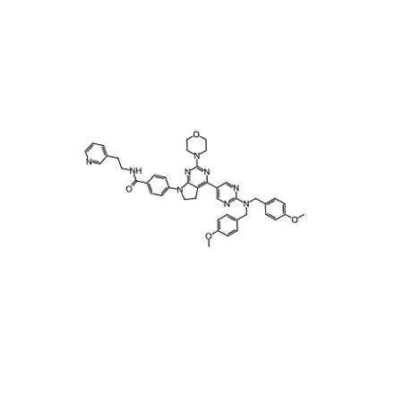 COc1ccc(CN(Cc2ccc(OC)cc2)c2ncc(-c3nc(N4CCOCC4)nc4c3CCN4c3ccc(C(=O)NCCc4cccnc4)cc3)cn2)cc1